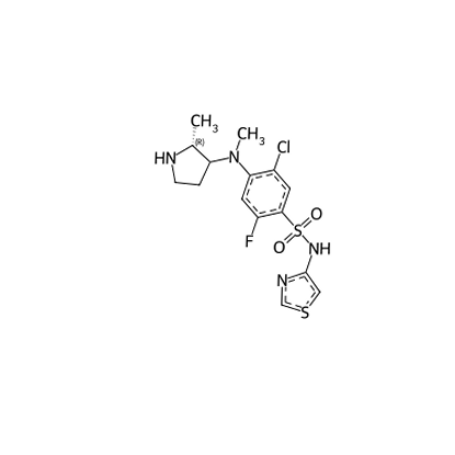 C[C@H]1NCCC1N(C)c1cc(F)c(S(=O)(=O)Nc2cscn2)cc1Cl